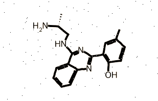 Cc1ccc(O)c(-c2nc(NC[C@@H](C)N)c3ccccc3n2)c1